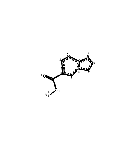 CC(C)OC(=O)c1cnc2nccn2c1